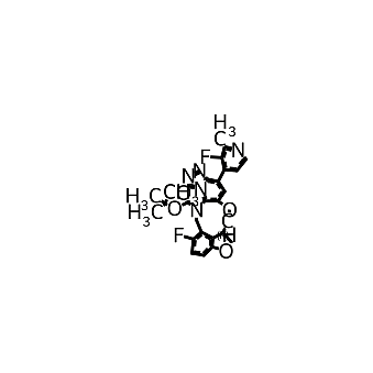 Cc1nccc(-c2cc3c(n4cnnc24)N(C(=O)OC(C)(C)C)Cc2c(F)ccc4c2[C@H](CO4)CO3)c1F